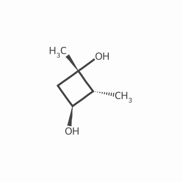 C[C@@H]1[C@@H](O)C[C@]1(C)O